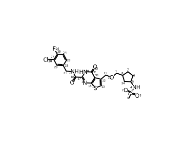 CS(=O)(=O)NC1CCC(COCc2csc3nc(C(=O)NCc4ccc(F)c(Cl)c4)[nH]c(=O)c23)C1